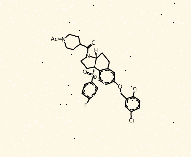 CC(=O)N1CCC(C(=O)N2CC[C@@]3(S(=O)(=O)c4ccc(F)cc4)c4ccc(OCc5cc(Cl)ccc5Cl)cc4CC[C@@H]23)CC1